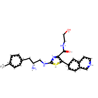 N[C@@H](CNc1nc(C(=O)NCCO)c(-c2ccc3cnccc3c2)s1)Cc1ccc(C(F)(F)F)cc1